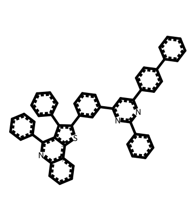 c1ccc(-c2ccc(-c3cc(-c4cccc(-c5sc6c(c(-c7ccccc7)nc7ccccc76)c5-c5ccccc5)c4)nc(-c4ccccc4)n3)cc2)cc1